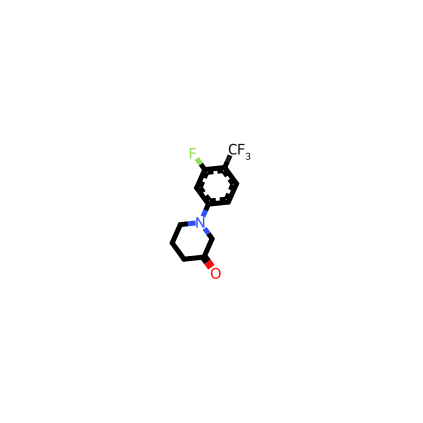 O=C1CCCN(c2ccc(C(F)(F)F)c(F)c2)C1